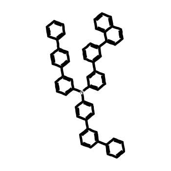 c1ccc(-c2ccc(-c3cccc(N(c4ccc(-c5cccc(-c6ccccc6)c5)cc4)c4cccc(-c5cccc(-c6cccc7ccccc67)c5)c4)c3)cc2)cc1